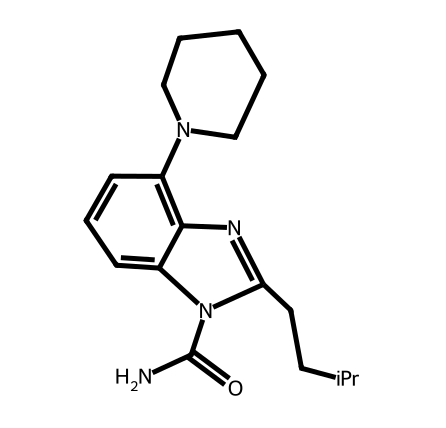 CC(C)CCc1nc2c(N3CCCCC3)cccc2n1C(N)=O